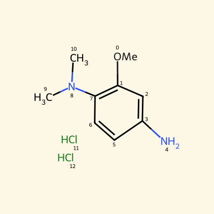 COc1cc(N)ccc1N(C)C.Cl.Cl